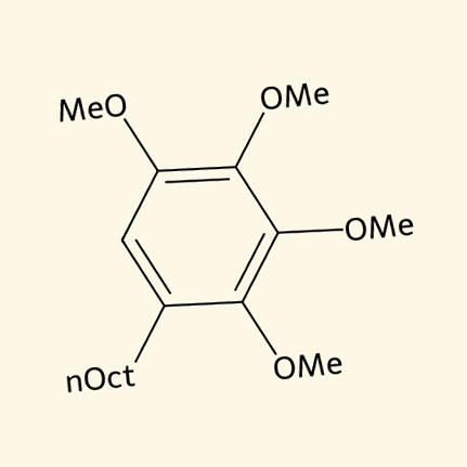 CCCCCCCCc1cc(OC)c(OC)c(OC)c1OC